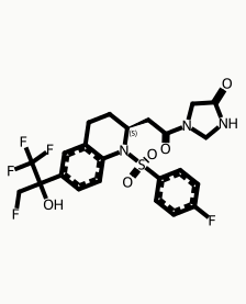 O=C1CN(C(=O)C[C@@H]2CCc3cc(C(O)(CF)C(F)(F)F)ccc3N2S(=O)(=O)c2ccc(F)cc2)CN1